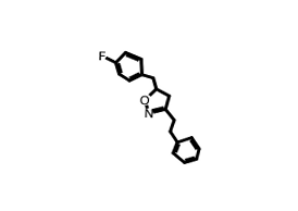 Fc1ccc(CC2CC(CCc3ccccc3)=NO2)cc1